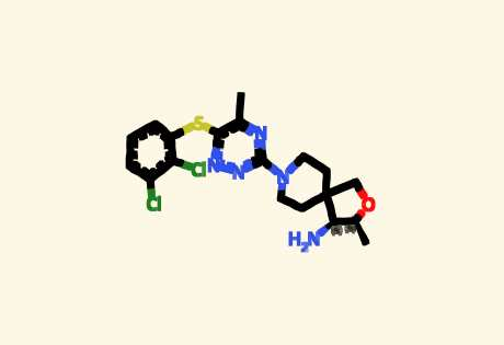 Cc1nc(N2CCC3(CC2)CO[C@@H](C)[C@H]3N)nnc1Sc1cccc(Cl)c1Cl